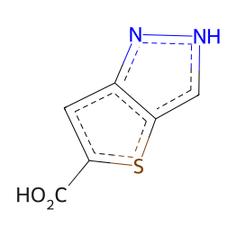 O=C(O)c1cc2n[nH]cc2s1